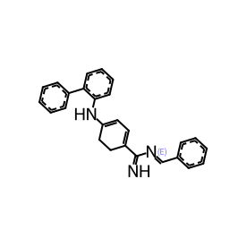 N=C(/N=C/c1ccccc1)C1=CC=C(Nc2ccccc2-c2ccccc2)CC1